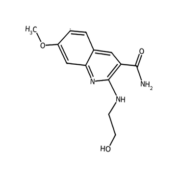 COc1[c]cc2cc(C(N)=O)c(NCCO)nc2c1